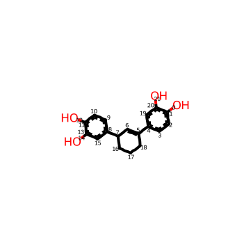 Oc1ccc(C2=CC(c3ccc(O)c(O)c3)CCC2)cc1O